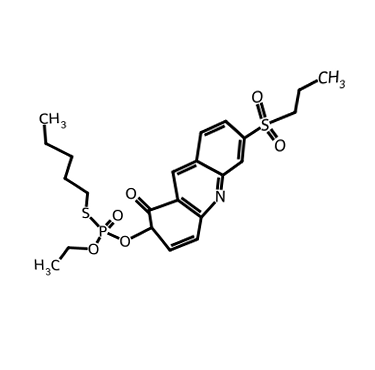 CCCCCSP(=O)(OCC)OC1C=Cc2nc3cc(S(=O)(=O)CCC)ccc3cc2C1=O